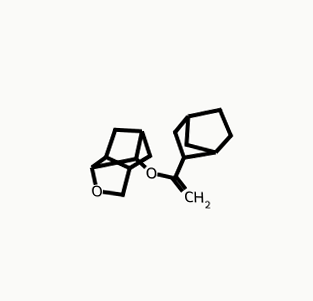 C=C(OC1C2CC3COC1C3C2)C1CC2CCC1C2